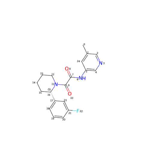 Cc1cncc(NC(=O)C(=O)N2CCCC[C@H]2c2cccc(F)c2)c1